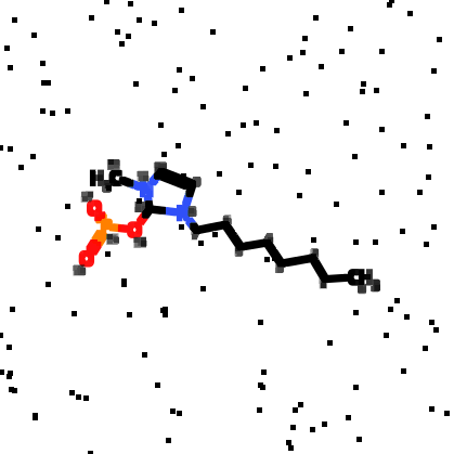 CCCCCCCCN1C=CN(C)C1OP(=O)=O